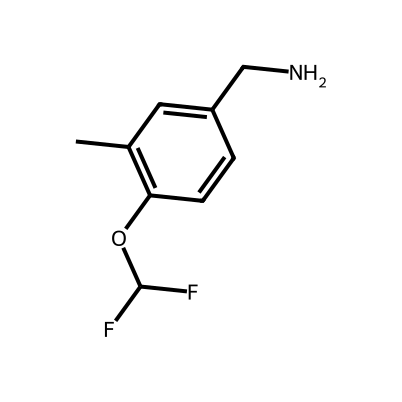 Cc1cc(CN)ccc1OC(F)F